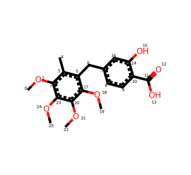 COc1c(C)c(Cc2ccc(C(=O)O)c(O)c2)c(OC)c(OC)c1OC